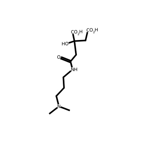 CN(C)CCCNC(=O)CC(O)(CC(=O)O)C(=O)O